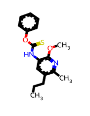 CCCc1cc(NC(=S)Oc2ccccc2)c(OC)nc1C